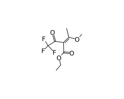 CCOC(=O)/C(C(=O)C(F)(F)F)=C(/C)OC